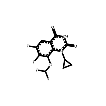 O=c1[nH]c(=O)n(C2CC2)c2c(OC(F)F)c(F)c(F)cc12